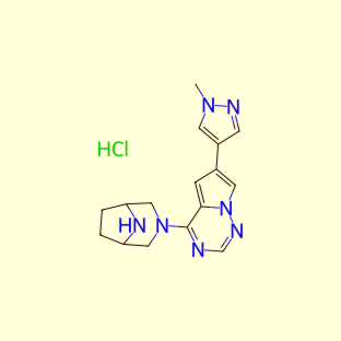 Cl.Cn1cc(-c2cc3c(N4CC5CCC(C4)N5)ncnn3c2)cn1